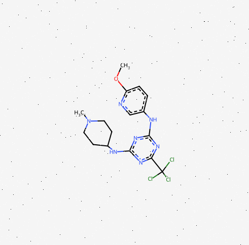 COc1ccc(Nc2nc(NC3CCN(C)CC3)nc(C(Cl)(Cl)Cl)n2)cn1